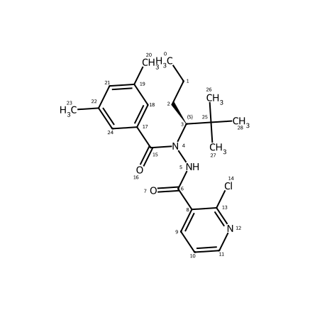 CCC[C@H](N(NC(=O)c1cccnc1Cl)C(=O)c1cc(C)cc(C)c1)C(C)(C)C